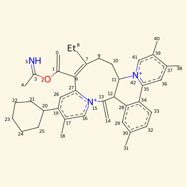 C=C(OC(C)=N)/C1=C(\CC)CCC2C(C(=C)[n+]3cc(C)c(C4CCCCC4)cc31)c1cc(C)ccc1-c1cc(C)c(C)c[n+]12